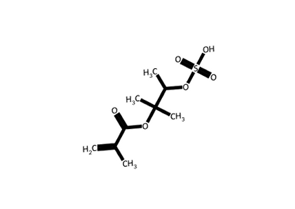 C=C(C)C(=O)OC(C)(C)C(C)OS(=O)(=O)O